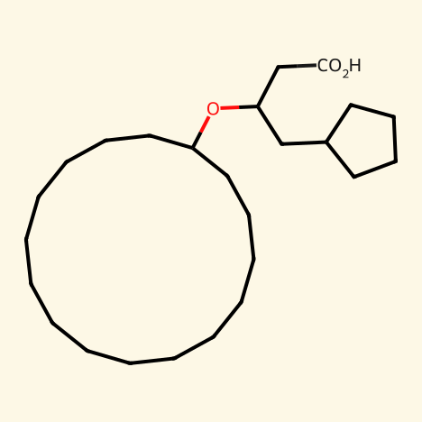 O=C(O)CC(CC1CCCC1)OC1CCCCCCCCCCCCCCC1